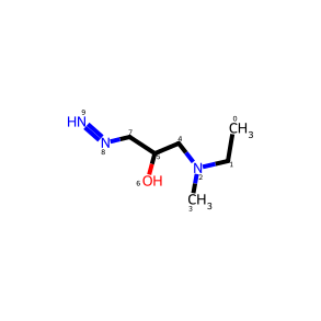 CCN(C)CC(O)CN=N